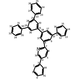 c1ccc(-c2ccc(-c3cc(-c4ccccc4)cc(-c4cc(-c5ccccc5)cc(-c5ccccc5)c4)c3)nc2)cc1